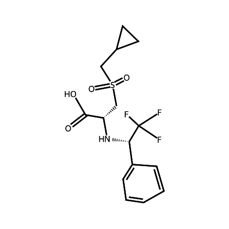 O=C(O)[C@H](CS(=O)(=O)CC1CC1)N[C@@H](c1ccccc1)C(F)(F)F